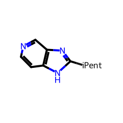 CCCC(C)c1nc2cnccc2[nH]1